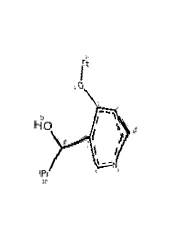 CCOc1ccncc1C(O)C(C)C